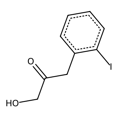 O=C(CO)Cc1ccccc1I